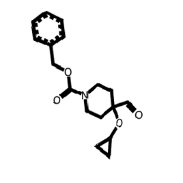 O=CC1(OC2CC2)CCN(C(=O)OCc2ccccc2)CC1